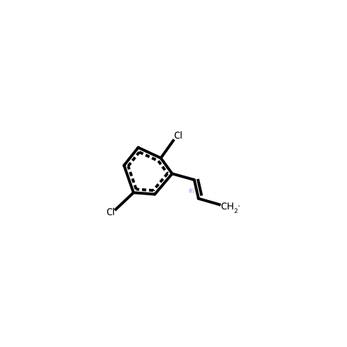 [CH2]/C=C/c1cc(Cl)ccc1Cl